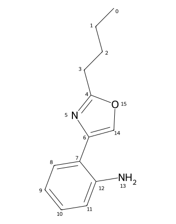 CCCCc1nc(-c2ccccc2N)co1